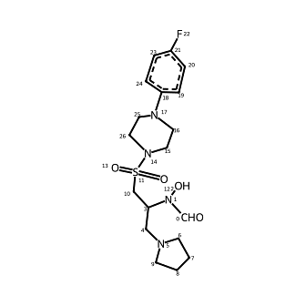 O=CN(O)C(CN1CCCC1)CS(=O)(=O)N1CCN(c2ccc(F)cc2)CC1